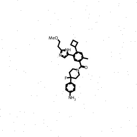 COCCc1ncc(-c2cc(C(=O)N3CCC(F)(c4ccc(N)cc4)CC3)c(C)cc2C2CCC2)[nH]1